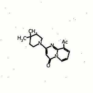 CC(=O)c1cccn2c(=O)cc(N3CCC(C)(C)CC3)nc12